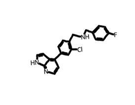 Fc1ccc(CNCc2ccc(-c3ccnc4[nH]ccc34)cc2Cl)cc1